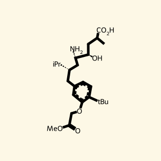 COC(=O)COc1cc(C[C@@H](C[C@H](N)[C@@H](O)CC(C)C(=O)O)C(C)C)ccc1C(C)(C)C